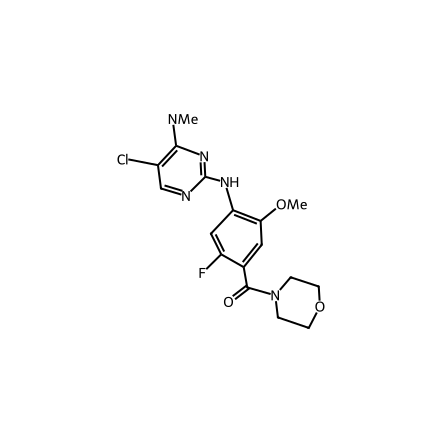 CNc1nc(Nc2cc(F)c(C(=O)N3CCOCC3)cc2OC)ncc1Cl